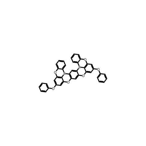 c1ccc(Oc2cc3c4c(c2)Oc2cc5c(cc2B4c2ccccc2O3)B2c3ccccc3Oc3cc(Oc4ccccc4)cc(c32)O5)cc1